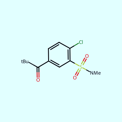 CNS(=O)(=O)c1cc(C(=O)C(C)(C)C)ccc1Cl